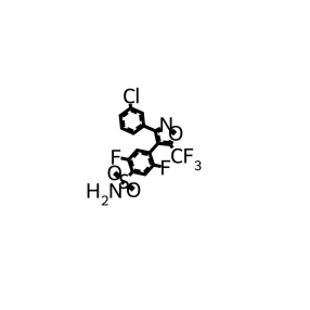 NS(=O)(=O)c1cc(F)c(-c2c(-c3cccc(Cl)c3)noc2C(F)(F)F)cc1F